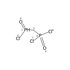 O=[PH](Cl)CP(=O)(Cl)Cl